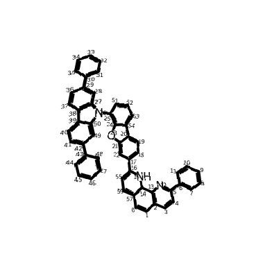 C1=Cc2ccc(-c3ccccc3)nc2C2NC(c3ccc4c(c3)oc3c(-n5c6cc(-c7ccccc7)ccc6c6ccc(-c7ccccc7)cc65)cccc34)=CC=C12